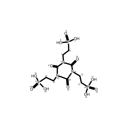 O=c1n(CCP(=O)(O)O)c(=O)n(CCP(=O)(O)O)c(=O)n1CCP(=O)(O)O